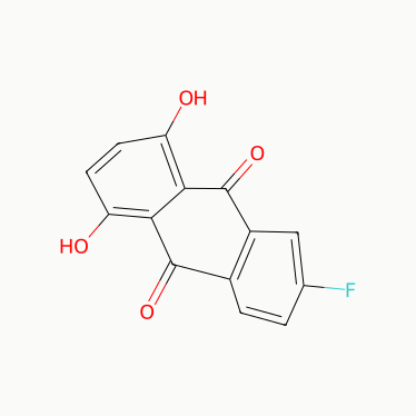 O=C1c2ccc(F)cc2C(=O)c2c(O)ccc(O)c21